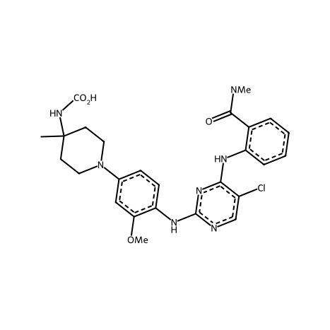 CNC(=O)c1ccccc1Nc1nc(Nc2ccc(N3CCC(C)(NC(=O)O)CC3)cc2OC)ncc1Cl